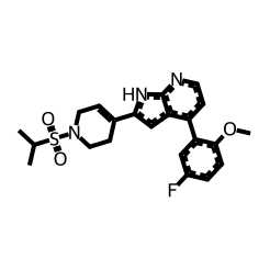 COc1ccc(F)cc1-c1ccnc2[nH]c(C3=CCN(S(=O)(=O)C(C)C)CC3)cc12